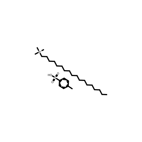 CCCCCCCCCCCCCCCCCC[N+](C)(C)C.Cc1ccc(S(=O)(=O)O)cc1